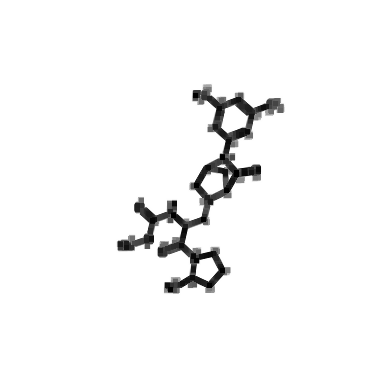 CC(C)(C)OC(=O)NC(CN1CC2CC1C(=O)N2c1cc(C(F)(F)F)cc(C(F)(F)F)c1)C(=O)N1CCCC1C#N